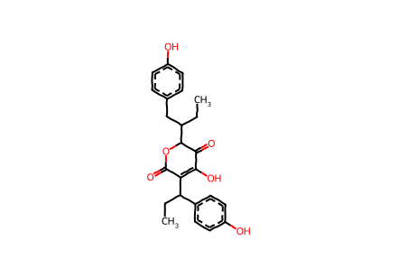 CCC(C1=C(O)C(=O)C(C(CC)Cc2ccc(O)cc2)OC1=O)c1ccc(O)cc1